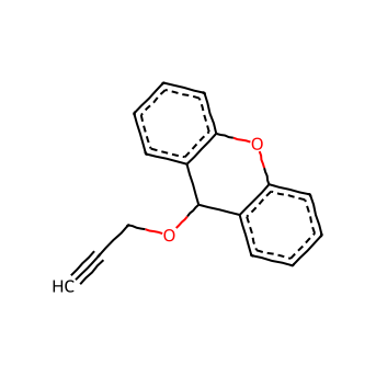 C#CCOC1c2ccccc2Oc2ccccc21